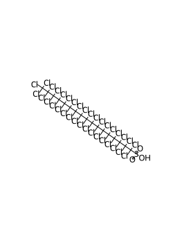 O=S(=O)(O)C(Cl)(Cl)C(Cl)(Cl)C(Cl)(Cl)C(Cl)(Cl)C(Cl)(Cl)C(Cl)(Cl)C(Cl)(Cl)C(Cl)(Cl)C(Cl)(Cl)C(Cl)(Cl)C(Cl)(Cl)C(Cl)(Cl)C(Cl)(Cl)C(Cl)(Cl)C(Cl)(Cl)C(Cl)(Cl)C(Cl)(Cl)Cl